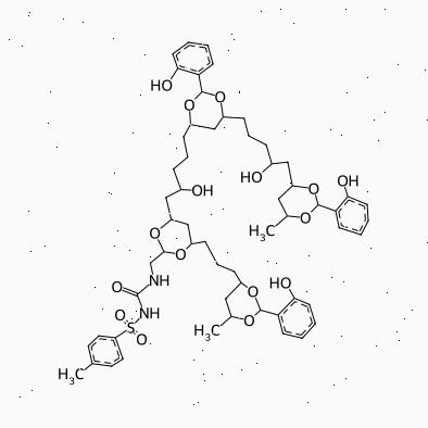 Cc1ccc(S(=O)(=O)NC(=O)NCC2OC(CCCC3CC(C)OC(c4ccccc4O)O3)CC(CC(O)CCCC3CC(CCCC(O)CC4CC(C)OC(c5ccccc5O)O4)OC(c4ccccc4O)O3)O2)cc1